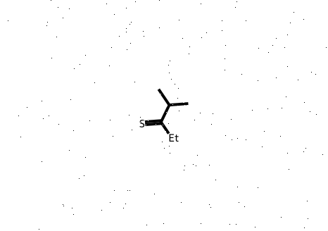 CCC(=S)C(C)C